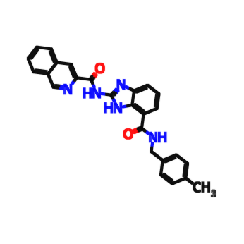 Cc1ccc(CNC(=O)c2cccc3nc(NC(=O)c4cc5ccccc5cn4)[nH]c23)cc1